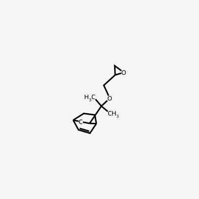 CC(C)(OCC1CO1)C1CC2C=CC1CC2